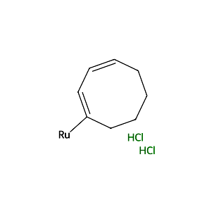 Cl.Cl.[Ru][C]1=CC=CCCCC1